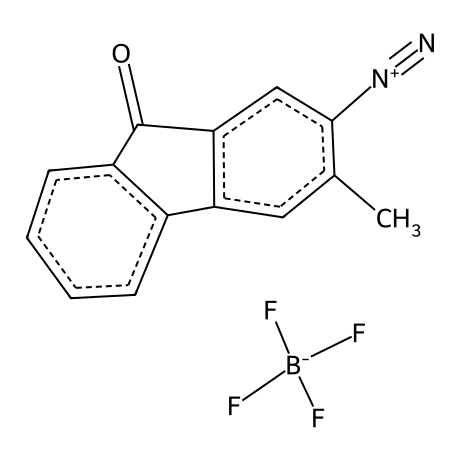 Cc1cc2c(cc1[N+]#N)C(=O)c1ccccc1-2.F[B-](F)(F)F